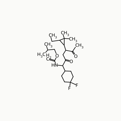 C=C(NC(C(=O)CC(C(C)=O)C1C(CC)C1(C)C)C1CCC(F)(F)CC1)OCC(C)C